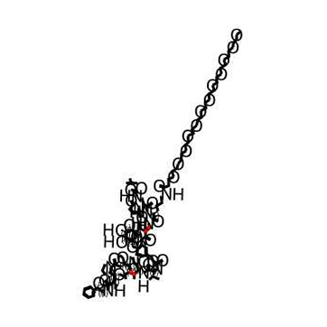 C=C(CC)[C@H]1O[C@@H](Oc2ccc(COC(=O)N(C)[C@H](C(=O)N[C@H](C(=O)N(C)[C@@H]([C@@H](C)CC)[C@@H](CC(=O)N3CCC[C@H]3[C@H](OC)[C@@H](C)C(=O)N[C@H](C)[C@@H](O)c3ccccc3)OC)C(C)C)C(C)C)cc2NC(=O)CCNC(=O)[C@H](CCCCNC(=O)CCOCCOCCOCCOCCOCCOCCOCCOCCOCCOCCOCCOC)NC(=O)C(CNC(=O)OC(C)(C)C)N2C(=O)C=CC2=O)[C@H](O)[C@@H](O)[C@@H]1O